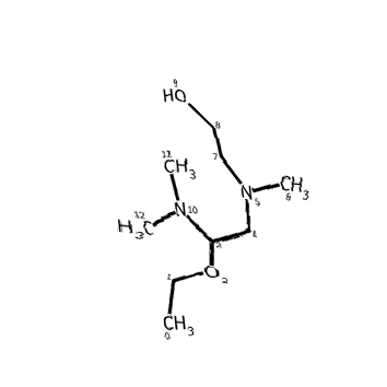 CCOC(CN(C)CCO)N(C)C